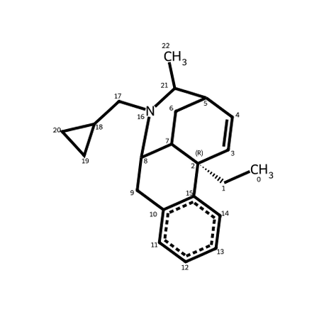 CC[C@@]12C=CC3CC1C(Cc1ccccc12)N(CC1CC1)C3C